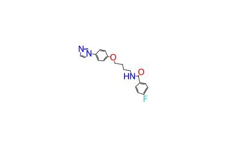 O=C(NCCCCOc1ccc(-n2ccnc2)cc1)c1ccc(F)cc1